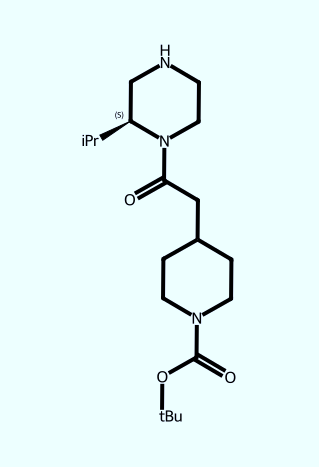 CC(C)[C@H]1CNCCN1C(=O)CC1CCN(C(=O)OC(C)(C)C)CC1